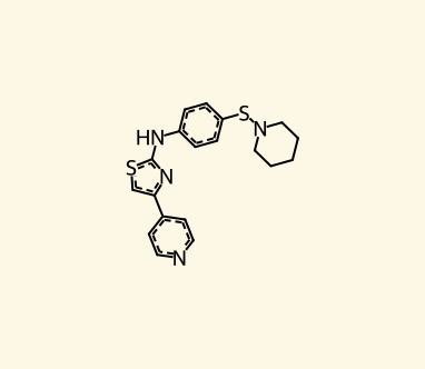 c1cc(-c2csc(Nc3ccc(SN4CCCCC4)cc3)n2)ccn1